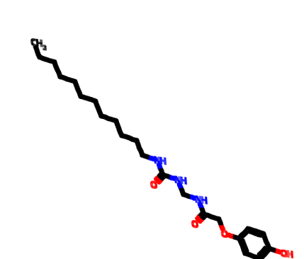 CCCCCCCCCCCCNC(=O)NCNC(=O)COc1ccc(O)cc1